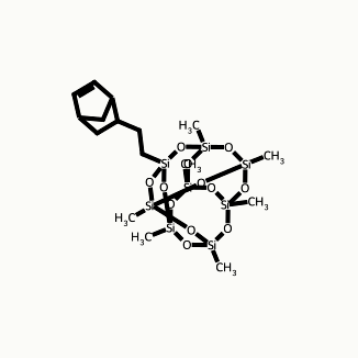 C[Si]12O[Si]3(C)O[Si]4(C)O[Si](C)(O1)O[Si]1(C)O[Si](C)(O2)O[Si](C)(O3)O[Si](CCC2CC3C=CC2C3)(O4)O1